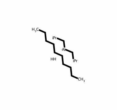 CC(C)[CH2][Al][CH2]C(C)C.CCCCCCCCCC.[HH]